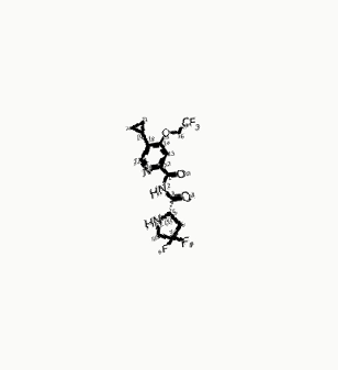 O=C(NC(=O)[C@@H]1CC(F)(F)CN1)c1cc(OCC(F)(F)F)c(C2CC2)cn1